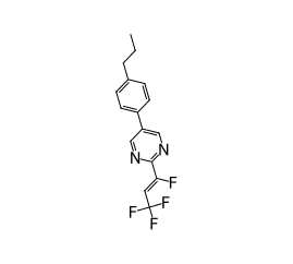 CCCc1ccc(-c2cnc(/C(F)=C/C(F)(F)F)nc2)cc1